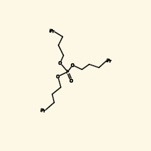 CC(C)CCCOP(=O)(OCCCC(C)C)OCCCC(C)C